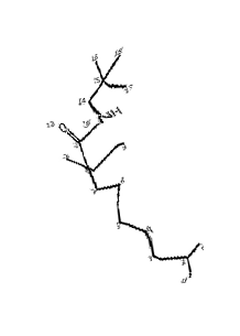 CC(C)CCCCCC(C)(C)C(=O)NCC(C)(C)C